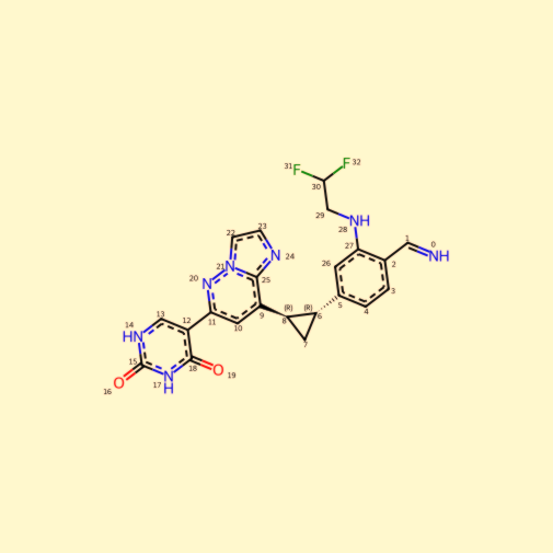 N=Cc1ccc([C@@H]2C[C@H]2c2cc(-c3c[nH]c(=O)[nH]c3=O)nn3ccnc23)cc1NCC(F)F